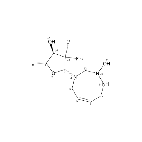 C[C@H]1O[C@@H](N2C/C=C\CNN(O)C2)C(F)(F)[C@@H]1O